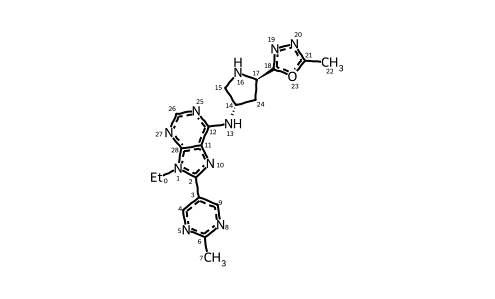 CCn1c(-c2cnc(C)nc2)nc2c(N[C@@H]3CN[C@@H](c4nnc(C)o4)C3)ncnc21